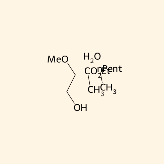 CCCCCC.CCOC(C)=O.COCCO.O